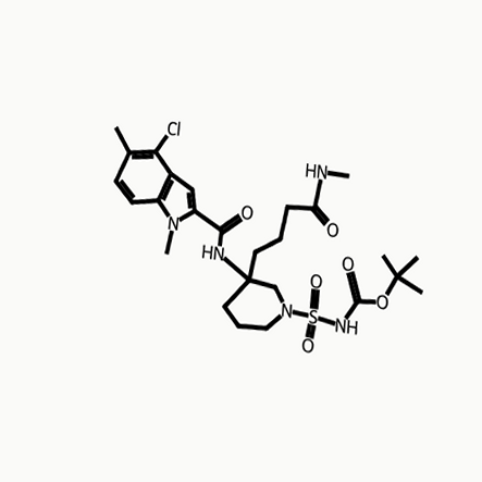 CNC(=O)CCCC1(NC(=O)c2cc3c(Cl)c(C)ccc3n2C)CCCN(S(=O)(=O)NC(=O)OC(C)(C)C)C1